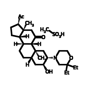 CCC1(CC)CN([C@H]2C[C@@]3(C)[C@@H](CC[C@H]4[C@@H]5CC[C@H](C(C)=O)[C@@]5(C)CC(=O)[C@@H]43)C[C@@H]2O)CCO1.CS(=O)(=O)O